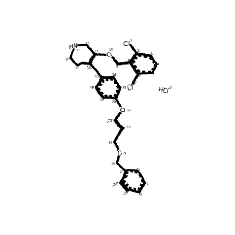 Cl.Clc1cccc(Cl)c1COC1CNCCC1c1ccc(OCCCOCc2ccccc2)cc1